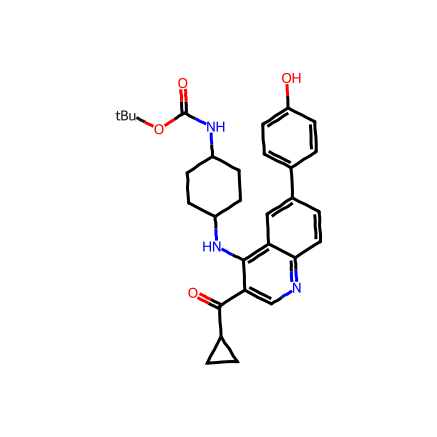 CC(C)(C)OC(=O)NC1CCC(Nc2c(C(=O)C3CC3)cnc3ccc(-c4ccc(O)cc4)cc23)CC1